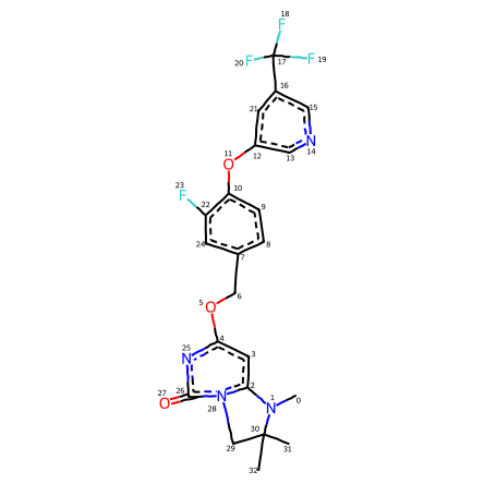 CN1c2cc(OCc3ccc(Oc4cncc(C(F)(F)F)c4)c(F)c3)nc(=O)n2CC1(C)C